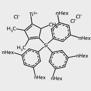 CCCCCCc1cc(CCCCCC)cc([Si](C2=C(C)C(C)=[C]([Ti+3])C2C)(c2cc(CCCCCC)cc(CCCCCC)c2)c2cc(CCCCCC)cc(CCCCCC)c2)c1.[Cl-].[Cl-].[Cl-]